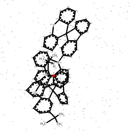 CC(C)(C)c1ccc2c(c1)C1(c3cc(C(C)(C)C)ccc3O2)c2ccccc2-c2ccc(N(c3ccc4c(c3)C3(c5ccccc5Sc5ccccc53)c3ccccc3-4)c3ccccc3-n3c4ccccc4c4ccccc43)cc21